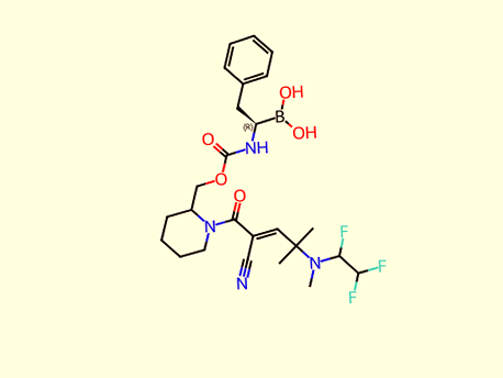 CN(C(F)C(F)F)C(C)(C)C=C(C#N)C(=O)N1CCCCC1COC(=O)N[C@@H](Cc1ccccc1)B(O)O